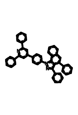 c1ccc(-c2cc(-c3ccc(-n4nc(-c5ccccc5)c5c(-c6ccccc6)cc6ccccc6c54)cc3)cc(-c3ccccc3)n2)cc1